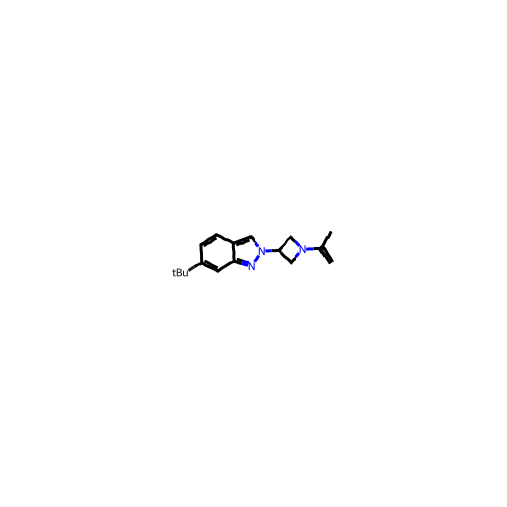 C=C(C)N1CC(n2cc3ccc(C(C)(C)C)cc3n2)C1